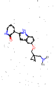 CCN(CC)CC1(COc2ccc3[nH]c(-c4c[c]c[nH]c4=O)cc3c2)CC1